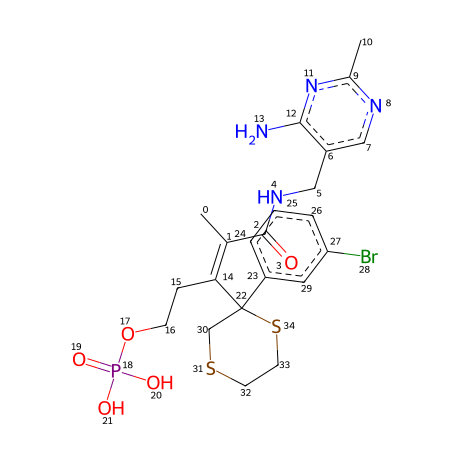 C/C(C(=O)NCc1cnc(C)nc1N)=C(\CCOP(=O)(O)O)C1(c2cccc(Br)c2)CSCCS1